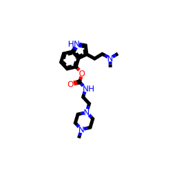 CN(C)CCc1c[nH]c2cccc(OC(=O)NCCN3CCN(C)CC3)c12